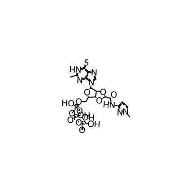 Cc1nc2c(ncn2C2OC(COP(=O)(O)OP(=O)(O)OP(=O)(O)O)C3OC(C(=O)Nc4ccn(C)n4)OC32)c(=S)[nH]1